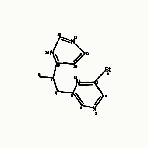 CCc1cncc(CC(C)c2ccncn2)n1